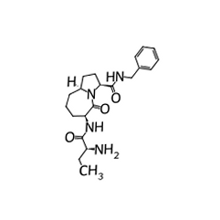 CC[C@H](N)C(=O)N[C@H]1CCC[C@H]2CC[C@@H](C(=O)NCc3ccccc3)N2C1=O